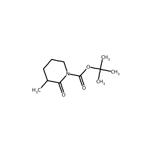 CC1CCCN(C(=O)OC(C)(C)C)C1=O